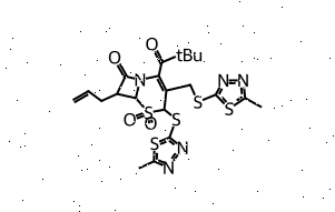 C=CCC1C(=O)N2C(C(=O)C(C)(C)C)=C(CSc3nnc(C)s3)C(Sc3nnc(C)s3)S(=O)(=O)C12